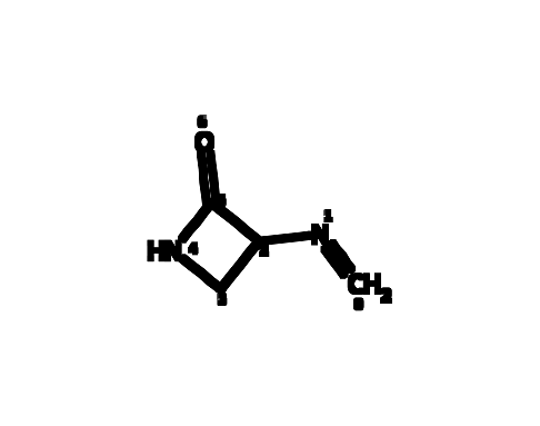 C=NC1CNC1=O